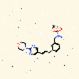 CC(C)(C)OC(=O)NCc1cccc(CC=Cc2cnc(N3CCOCC3)nc2)c1